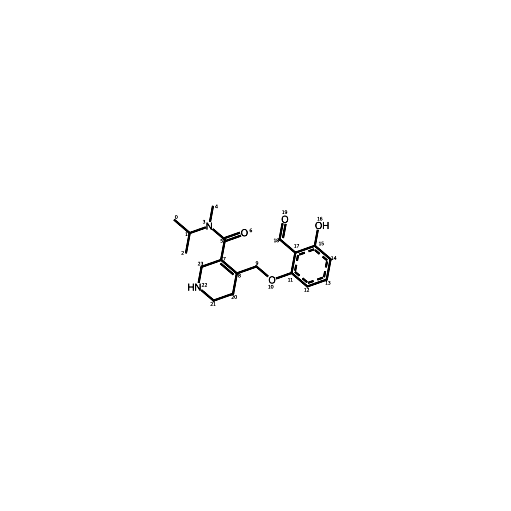 CC(C)N(C)C(=O)C1=C(COc2cccc(O)c2C=O)CCNC1